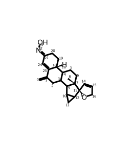 C=C1CC2C(CC[C@@]3(C)C2C2CC2[C@@]32C=CCO2)[C@H]2CCC(=NO)C=C12